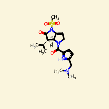 CC(C)[C@@H]1C(=O)N(S(C)(=O)=O)C2=CCN(C(=O)c3ccc(CN(C)C)[nH]3)[C@H]21